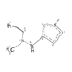 CC(C)CN(C)Bc1ccsc1